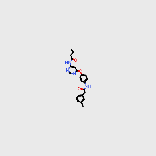 CCCC(=O)Nc1cc(Oc2ccc(NC(=O)Cc3cccc(C)c3)cc2)ncn1